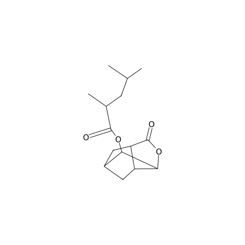 CC(C)CC(C)C(=O)OC1C2CC3C(=O)OC1C3C2